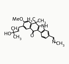 C/N=C/c1ccc2c3c([nH]c2c1)C(C)(C)c1cc(OC)c(CCC(C)(C)O)cc1C3=O